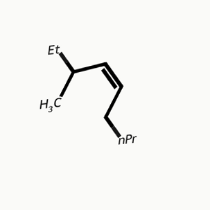 [CH2]CC(C)/C=C\CCCC